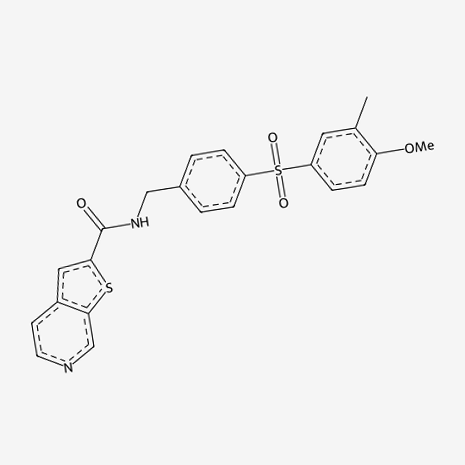 COc1ccc(S(=O)(=O)c2ccc(CNC(=O)c3cc4ccncc4s3)cc2)cc1C